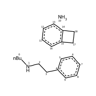 CCCCNCCc1ccccc1.N.c1ccc2c(c1)CC2